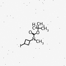 CN(C(=O)OC(C)(C)C)C1CC(I)C1